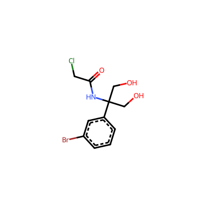 O=C(CCl)NC(CO)(CO)c1cccc(Br)c1